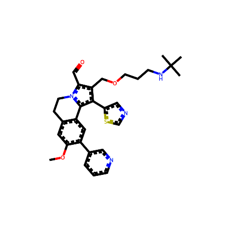 COc1cc2c(cc1-c1cccnc1)-c1c(-c3cncs3)c(COCCCNC(C)(C)C)c(C=O)n1CC2